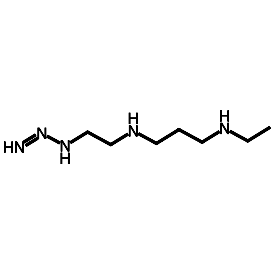 CCNCCCNCCNN=N